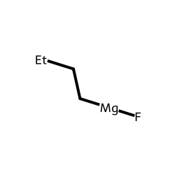 CCC[CH2][Mg][F]